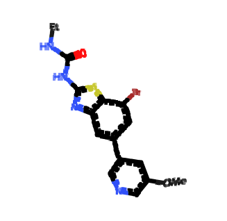 CCNC(=O)Nc1nc2cc(-c3cncc(OC)c3)cc(Br)c2s1